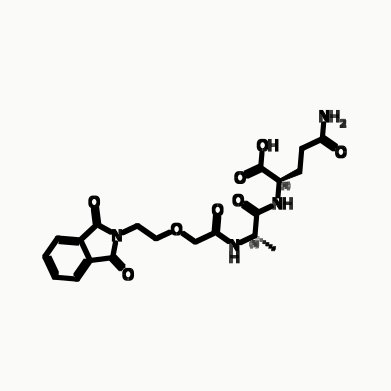 C[C@H](NC(=O)COCCN1C(=O)c2ccccc2C1=O)C(=O)N[C@H](CCC(N)=O)C(=O)O